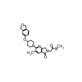 COC(=O)CN1Cc2nc(N3CCC(Oc4ccc5c(c4)COC5)CC3)c(C)cc2C1=O